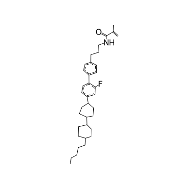 C=C(C)C(=O)NCCCc1ccc(-c2ccc(C3CCC(C4CCC(CCCCC)CC4)CC3)cc2F)cc1